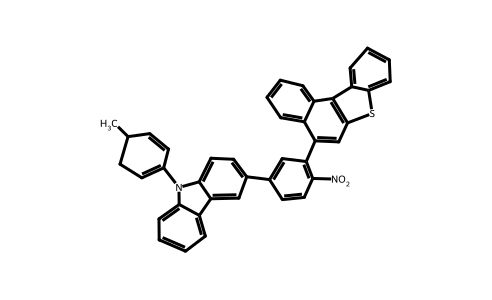 CC1C=CC(n2c3ccccc3c3cc(-c4ccc([N+](=O)[O-])c(-c5cc6sc7ccccc7c6c6ccccc56)c4)ccc32)=CC1